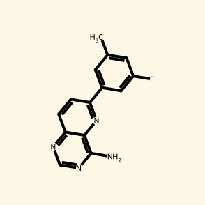 Cc1cc(F)cc(-c2ccc3ncnc(N)c3n2)c1